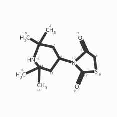 CC1(C)CC(N2C(=O)CSC2=O)CC(C)(C)N1